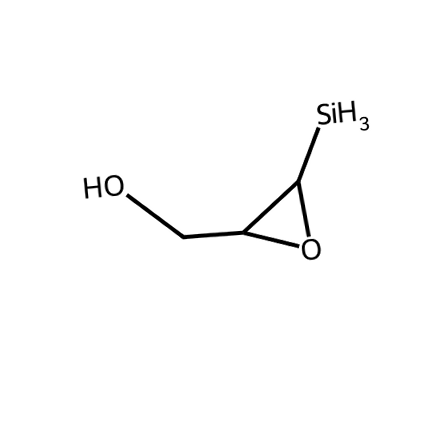 OCC1OC1[SiH3]